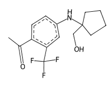 CC(=O)c1ccc(NC2(CO)CCCC2)cc1C(F)(F)F